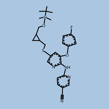 CC(C)(C)[Si](C)(C)OCC1CC1CSc1cnc(Nc2ccc(C#N)cn2)c(Oc2ccc(F)cc2)c1